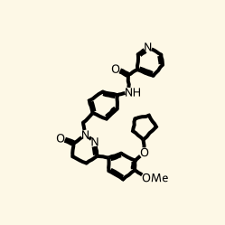 COc1ccc(C2=NN(Cc3ccc(NC(=O)c4cccnc4)cc3)C(=O)CC2)cc1OC1CCCC1